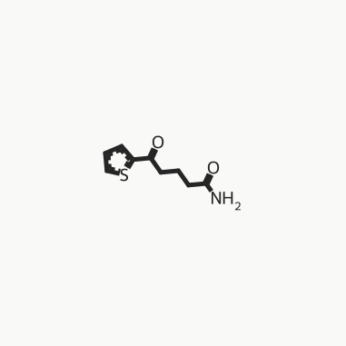 NC(=O)CCCC(=O)c1cccs1